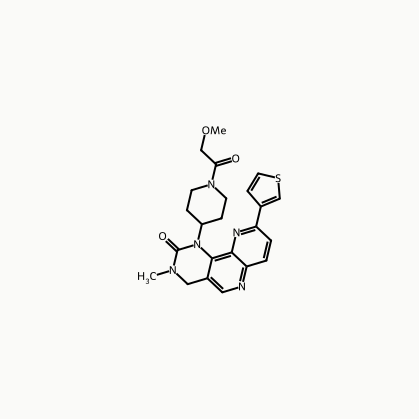 COCC(=O)N1CCC(N2C(=O)N(C)Cc3cnc4ccc(-c5ccsc5)nc4c32)CC1